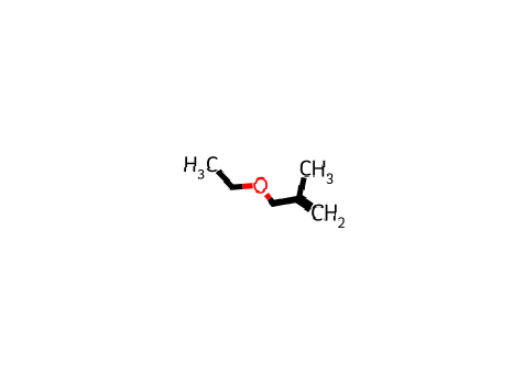 C=C(C)COCC